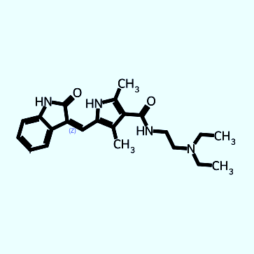 CCN(CC)CCNC(=O)c1c(C)[nH]c(/C=C2\C(=O)Nc3cc[c]cc32)c1C